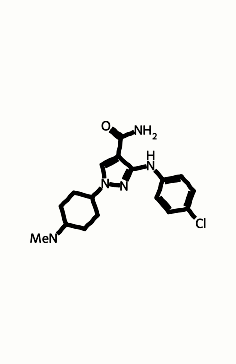 CNC1CCC(n2cc(C(N)=O)c(Nc3ccc(Cl)cc3)n2)CC1